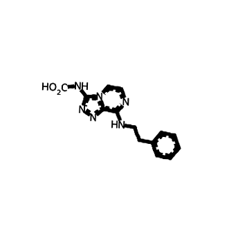 O=C(O)Nc1nnc2c(NCCc3ccccc3)nccn12